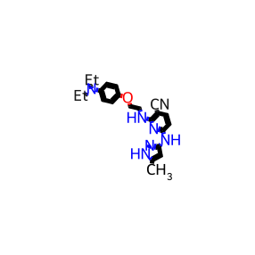 CCN(CC)c1ccc(OCCNc2nc(Nc3cc(C)[nH]n3)ccc2C#N)cc1